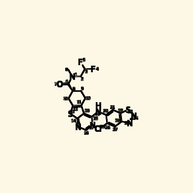 CN(CC(F)F)C(=O)[C@H]1CCc2c(sc3ncnc(Nc4cc5snnc5cc4Cl)c23)C1